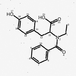 CCN(C(=O)c1ccccc1)C(Cc1ccc(O)cc1)C(=O)O